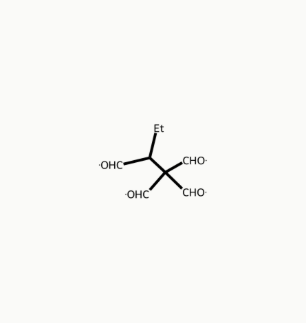 CCC([C]=O)C([C]=O)([C]=O)[C]=O